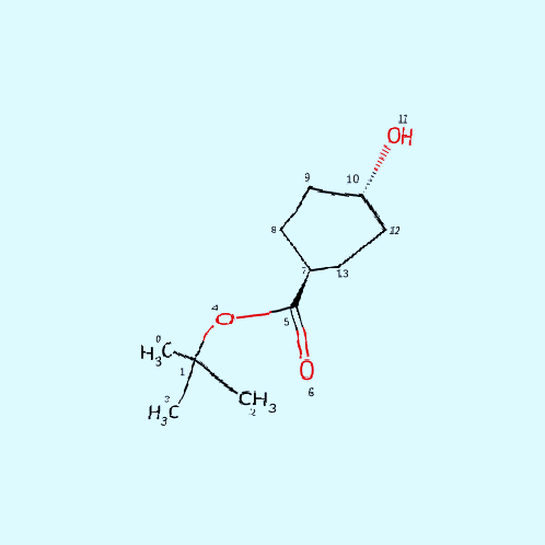 CC(C)(C)OC(=O)[C@H]1CC[C@H](O)CC1